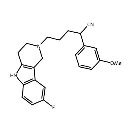 COc1cccc(C(C#N)CCCN2CCc3[nH]c4ccc(F)cc4c3C2)c1